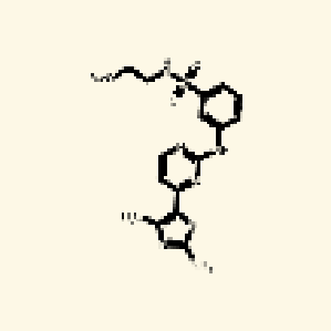 COCCNS(=O)(=O)c1cccc(Nc2nccc(-c3sc(C)nc3C)n2)c1